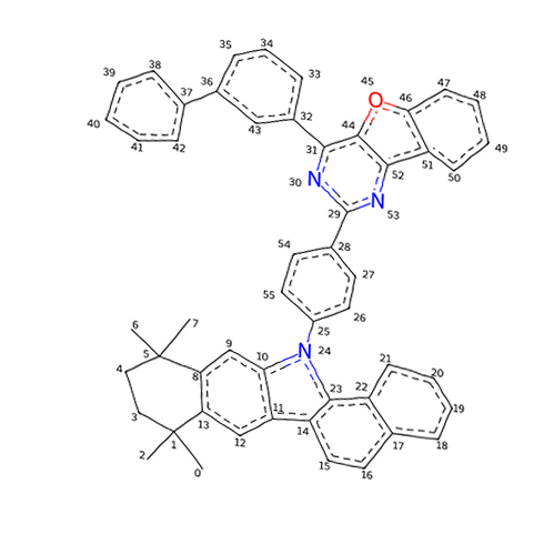 CC1(C)CCC(C)(C)c2cc3c(cc21)c1ccc2ccccc2c1n3-c1ccc(-c2nc(-c3cccc(-c4ccccc4)c3)c3oc4ccccc4c3n2)cc1